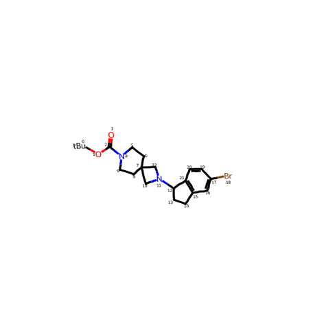 CC(C)(C)OC(=O)N1CCC2(CC1)CN(C1CCc3cc(Br)ccc31)C2